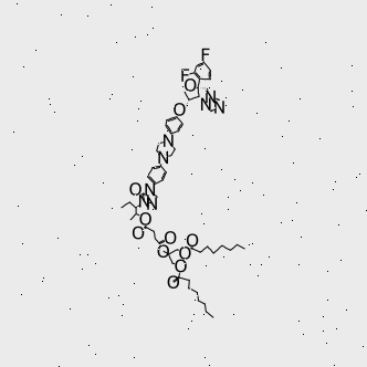 CCCCCCCC(=O)OCC(COC(=O)CCCCCCC)OC(=O)CCC(=O)OC(C)C(CC)n1ncn(-c2ccc(N3CCN(c4ccc(OC[C@@H]5CO[C@@](Cn6cncn6)(c6ccc(F)cc6F)C5)cc4)CC3)cc2)c1=O